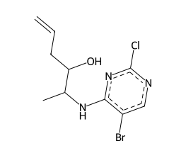 C=CCC(O)C(C)Nc1nc(Cl)ncc1Br